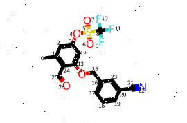 Cc1cc(OS(=O)(=O)C(F)(F)F)cc(OCc2cccc(C#N)c2)c1C=O